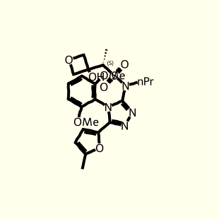 CCCN(c1nnc(-c2ccc(C)o2)n1-c1c(OC)cccc1OC)S(=O)(=O)[C@@H](C)C1(O)COC1